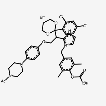 CC(=O)N1CCN(c2ccc(OCC(c3[nH]cc[n+]3Cc3cc(C)c(OC(=O)C(C)(C)C)c(C)c3)C3(c4ccc(Cl)cc4Cl)OCCCO3)cc2)CC1.[Br-]